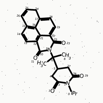 CC(C)N1C(=O)CC(C(C)(C)N2C(=O)c3ccc4c5c(ccc(c35)C2=O)CC=C4)CC1=O